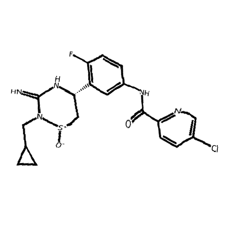 N=C1N[C@H](c2cc(NC(=O)c3ccc(Cl)cn3)ccc2F)C[S+]([O-])N1CC1CC1